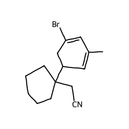 CC1=CC(C2(CC#N)CCCCC2)CC(Br)=C1